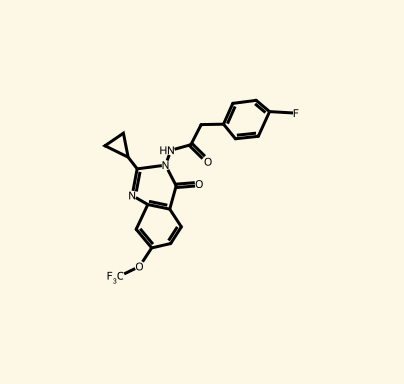 O=C(Cc1ccc(F)cc1)Nn1c(C2CC2)nc2cc(OC(F)(F)F)ccc2c1=O